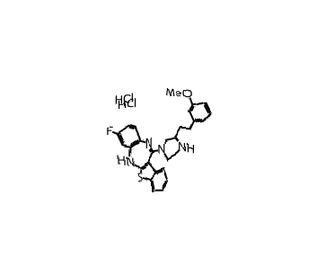 COc1cccc(CCC2CN(C3=Nc4ccc(F)cc4Nc4sc5ccccc5c43)CCN2)c1.Cl.Cl